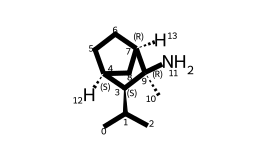 CC(C)[C@H]1[C@H]2CC[C@H](C2)[C@@]1(C)N